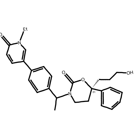 CCn1cc(-c2ccc(C(C)N3CC[C@](CCCO)(c4ccccc4)OC3=O)cc2)ccc1=O